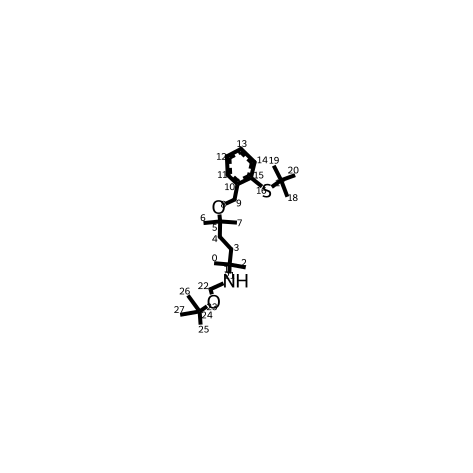 CC(C)(CCC(C)(C)OCc1ccccc1SC(C)(C)C)NCOC(C)(C)C